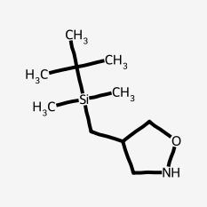 CC(C)(C)[Si](C)(C)CC1CNOC1